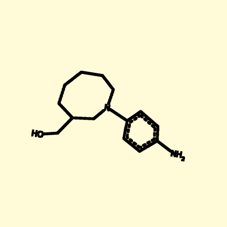 Nc1ccc(N2CCCCCC(CO)C2)cc1